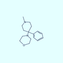 CN1CCC(c2ccccc2)(N2CCOCC2)CC1